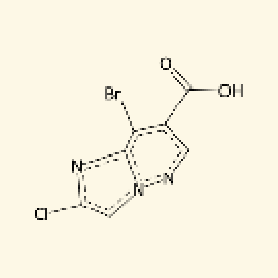 O=C(O)c1cnn2cc(Cl)nc2c1Br